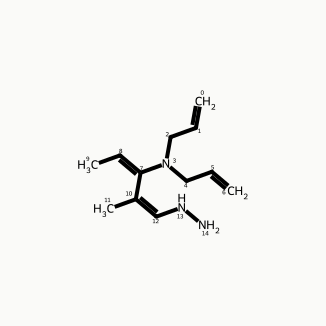 C=CCN(CC=C)C(=C/C)/C(C)=C\NN